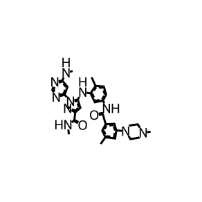 CNC(=O)c1cc(Nc2cc(NC(=O)c3cc(C)cc(N4CCN(C)CC4)c3)ccc2C)n(-c2cc(NC)ncn2)n1